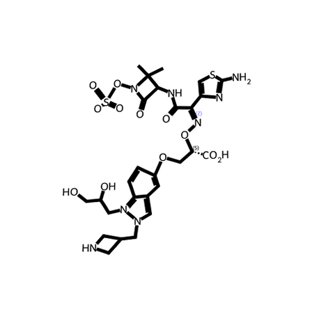 CC1(C)C(NC(=O)/C(=N\O[C@@H](COc2ccc3c(c2)cn(CC2CNC2)[n+]3CC(O)CO)C(=O)O)c2csc(N)n2)C(=O)N1OS(=O)(=O)[O-]